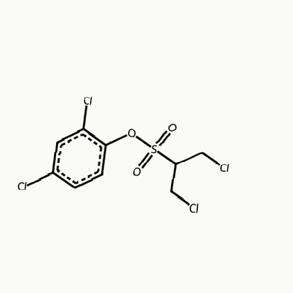 O=S(=O)(Oc1ccc(Cl)cc1Cl)C(CCl)CCl